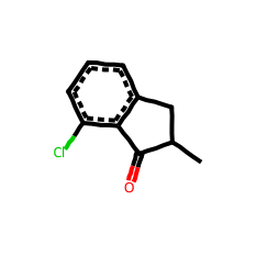 CC1Cc2cccc(Cl)c2C1=O